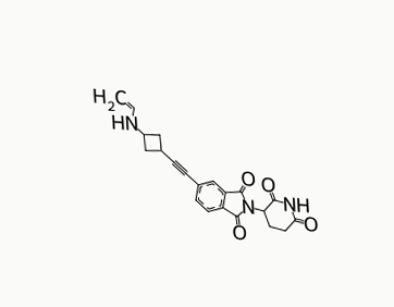 C=CNC1CC(C#Cc2ccc3c(c2)C(=O)N(C2CCC(=O)NC2=O)C3=O)C1